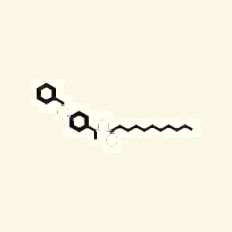 CCCCCCCCCCC(=O)OC(C)c1ccc(OCc2ccccc2)cc1